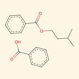 CC(C)CCOC(=O)c1ccccc1.O=C(O)c1ccccc1